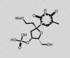 COCC[C@]1(n2cc(C)c(=O)[nH]c2=O)C[C@H](OP(=O)(O)O)[C@@H](CO)O1